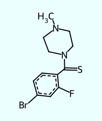 CN1CCN(C(=S)c2ccc(Br)cc2F)CC1